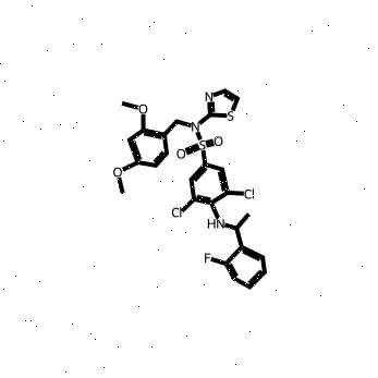 COc1ccc(CN(c2nccs2)S(=O)(=O)c2cc(Cl)c(NC(C)c3ccccc3F)c(Cl)c2)c(OC)c1